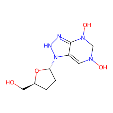 OC[C@@H]1CC[C@@H](N2NN=C3C2=CN(O)CN3O)O1